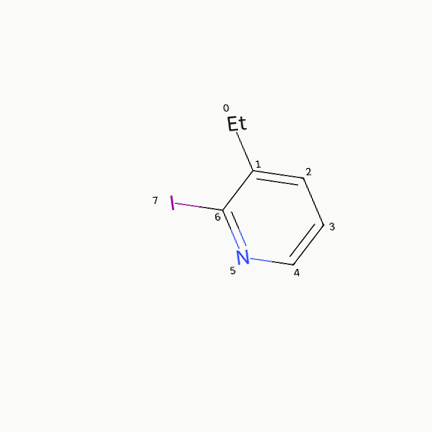 CCc1cccnc1I